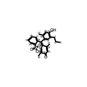 CCCc1cc(/C(=C2/C=C(C)C(=O)C=C2C)c2ccccc2S(=O)(=O)O)c(C)cc1O